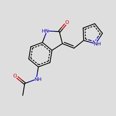 CC(=O)Nc1ccc2c(c1)/C(=C/c1ccc[nH]1)C(=O)N2